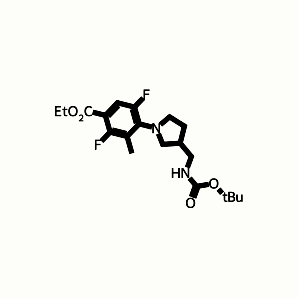 CCOC(=O)c1cc(F)c(N2CCC(CNC(=O)OC(C)(C)C)C2)c(C)c1F